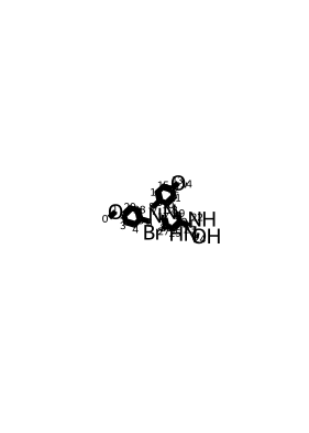 COc1ccc(CN(Cc2ccc(OC)cc2)c2ncc(C(=N)NO)cc2Br)cc1